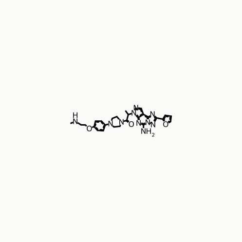 CNCCOc1ccc(N2CCN(C(=O)C(C)n3ncc4c3nc(N)n3nc(-c5ccco5)nc43)CC2)cc1